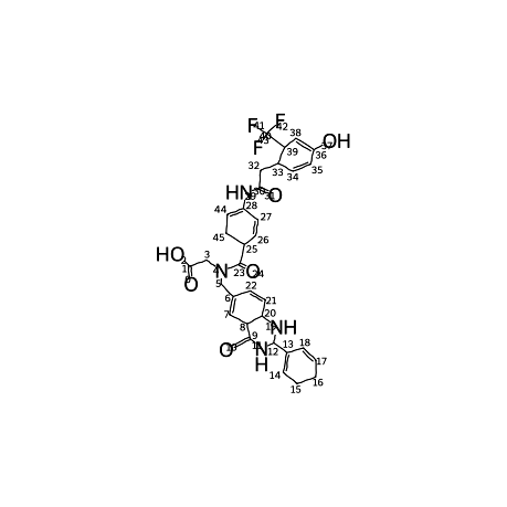 O=C(O)CN(CC1=CC2C(=O)NC(C3=CCCC=C3)NC2C=C1)C(=O)C1C=CC(NC(=O)CC2C=CC(O)=CC2C(F)(F)F)=CC1